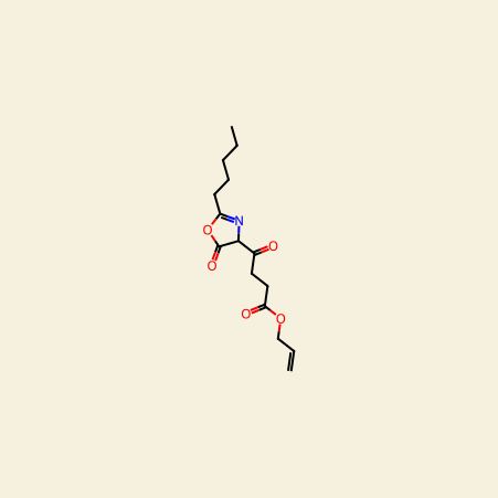 C=CCOC(=O)CCC(=O)C1N=C(CCCCC)OC1=O